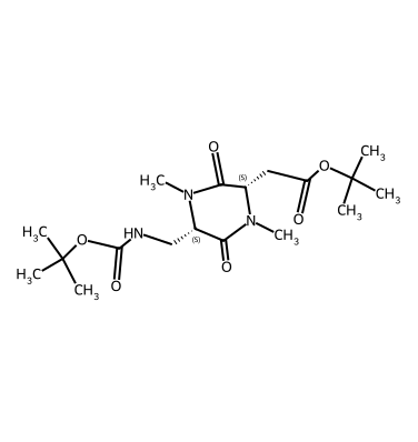 CN1C(=O)[C@H](CC(=O)OC(C)(C)C)N(C)C(=O)[C@@H]1CNC(=O)OC(C)(C)C